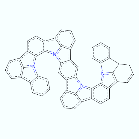 C1=Cc2c3n(c4c2ccc2c5cccc6c7cc8c(cc7n(c65)c24)c2cccc4c5ccc6c7cccc9c%10ccccc%10n(c97)c6c5n8c24)-c2ccccc2C3C1